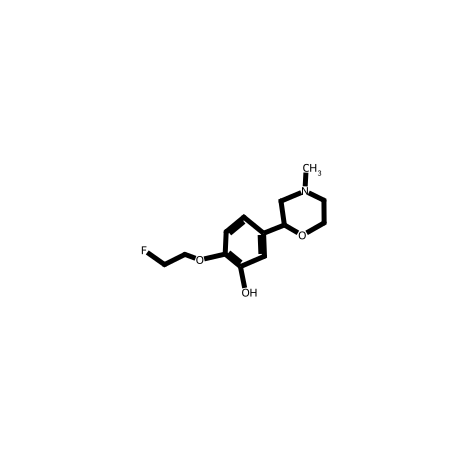 CN1CCOC(c2ccc(OCCF)c(O)c2)C1